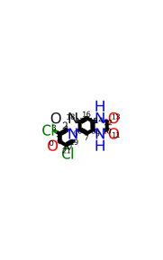 O=c1c(Cl)cn(-c2cc3[nH]c(=O)c(=O)[nH]c3cc2[N+](=O)[O-])cc1Cl